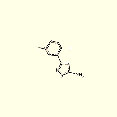 C[n+]1cccc(-c2cc(N)sn2)c1.[I-]